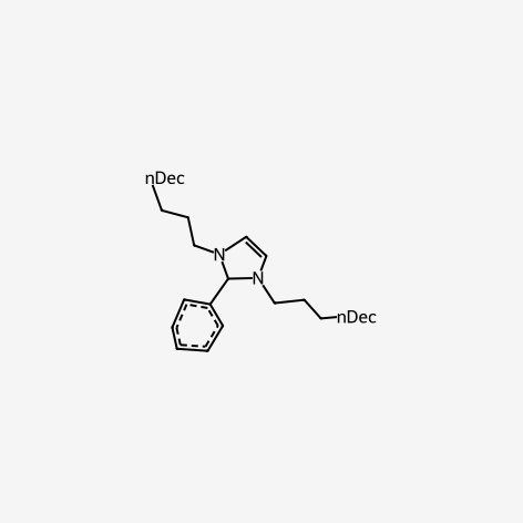 CCCCCCCCCCCCCN1C=CN(CCCCCCCCCCCCC)C1c1ccccc1